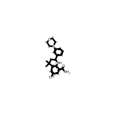 CC1(C)CC(c2cccc(N3CCOCC3)c2)Nc2c(C(N)=O)cc(Cl)cc21